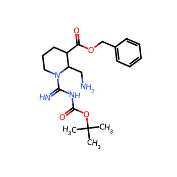 CC(C)(C)OC(=O)NC(=N)N1CCCC(C(=O)OCc2ccccc2)C1CN